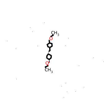 CCCOCC1CCC(CC[C@H]2CC[C@H](COCCC)CC2)CC1